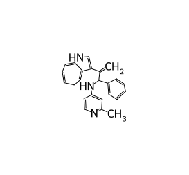 C=C(c1c[nH]c2c1=CCC=CC=2)C(Nc1ccnc(C)c1)c1ccccc1